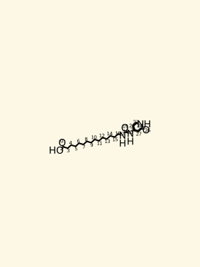 O=C(O)CCCCCCCCCCCCCCNC(=O)Nc1cc[nH]c(=O)c1